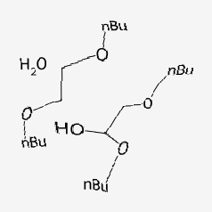 CCCCOCC(O)OCCCC.CCCCOCCOCCCC.O